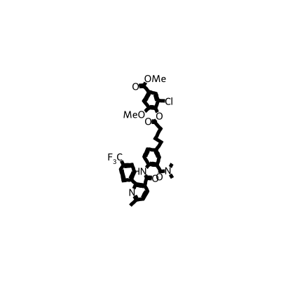 COC(=O)c1cc(Cl)c(OC(=O)CCCc2ccc(NC(=O)c3ccc(C)nc3-c3ccc(C(F)(F)F)cc3)c(C(=O)N(C)C)c2)c(OC)c1